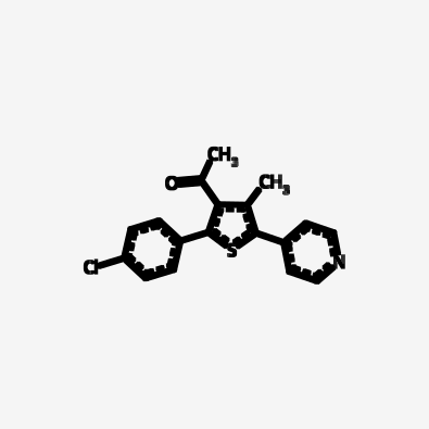 CC(=O)c1c(-c2ccc(Cl)cc2)sc(-c2ccncc2)c1C